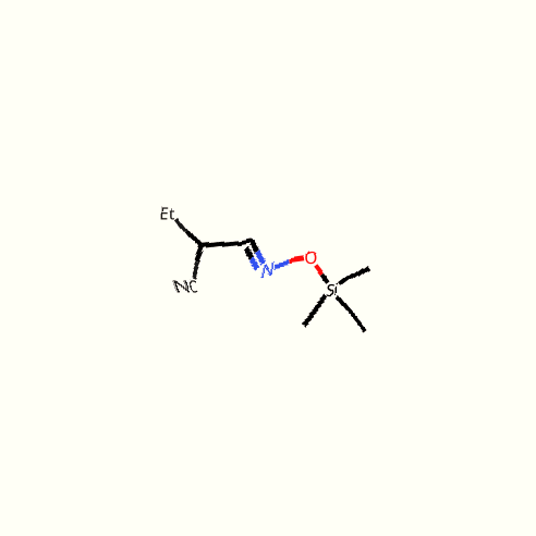 CCC(C#N)C=NO[Si](C)(C)C